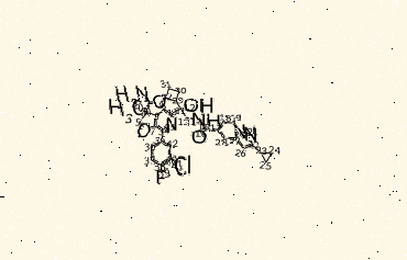 C[C@]1(C(N)=O)COc2c1cc(C(O)(CNC(=O)c1ccn3nc(C4CC4)cc3c1)C1CCC1)nc2-c1ccc(F)c(Cl)c1